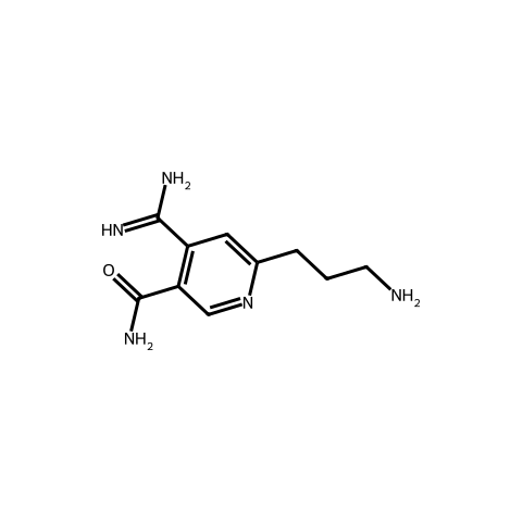 N=C(N)c1cc(CCCN)ncc1C(N)=O